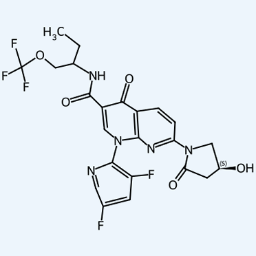 CCC(COC(F)(F)F)NC(=O)c1cn(-c2ncc(F)cc2F)c2nc(N3C[C@@H](O)CC3=O)ccc2c1=O